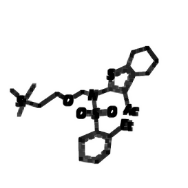 CCc1ccccc1S(=O)(=O)N(COCC[Si](C)(C)C)c1sc2c(c1C(C)=O)CCCC2